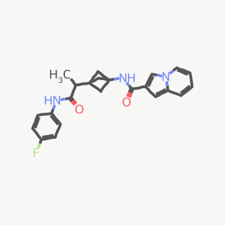 CC(C(=O)Nc1ccc(F)cc1)C12CC(NC(=O)c3cc4ccccn4c3)(C1)C2